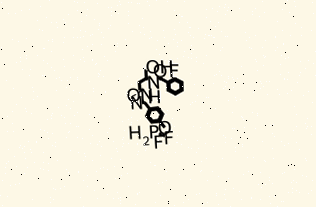 O=C(NC(CO)Cc1nc(-c2ccc(OC(F)(F)P)cc2)no1)c1ccccc1F